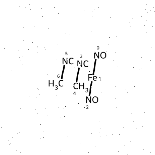 O=[N][Fe][N]=O.[C-]#[N+]C.[C-]#[N+]C